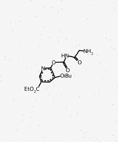 CCOC(=O)c1cnc(OC(=O)NC(=O)CN)c(OCC(C)C)c1